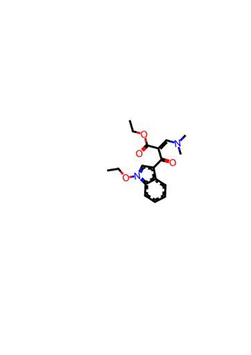 CCOC(=O)/C(=C/N(C)C)C(=O)c1cn(OCC)c2ccccc12